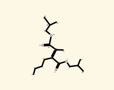 CCCCC(C(=O)OCC(C)C)=C(C)C(=O)OCC(C)C